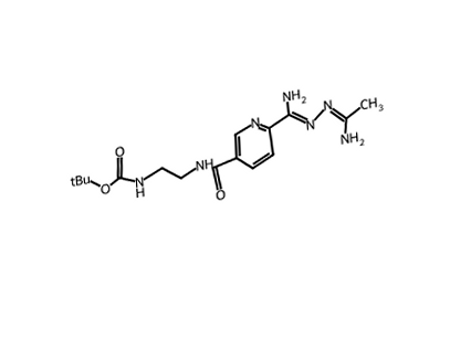 C/C(N)=N/N=C(\N)c1ccc(C(=O)NCCNC(=O)OC(C)(C)C)cn1